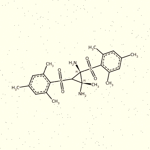 Cc1cc(C)c(S(=O)(=O)C2[C@](N)(S(=O)(=O)c3c(C)cc(C)cc3C)[C@]2(C)N)c(C)c1